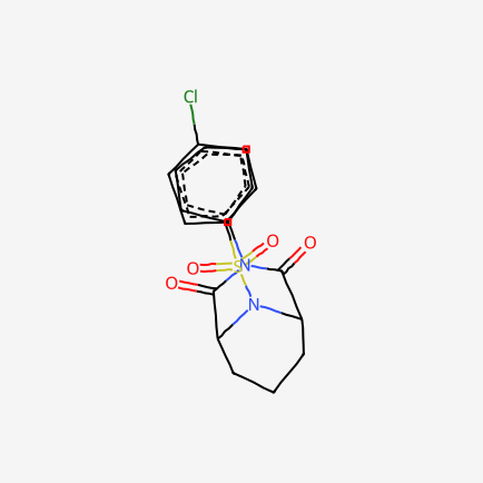 O=C1C2CCCC(C(=O)N1c1ccccc1)N2S(=O)(=O)c1ccc(Cl)cc1